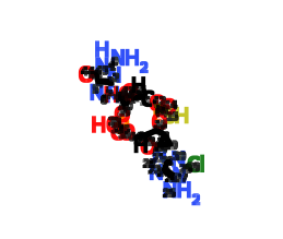 Nc1nc2c(ncn2[C@@H]2O[C@@H]3CO[P@@](=O)(S)OC4C5C[C@]5(n5cnc6c(N)nc(Cl)nc65)O[C@@H]4COP(=O)(O)OC2C3O)c(=O)[nH]1